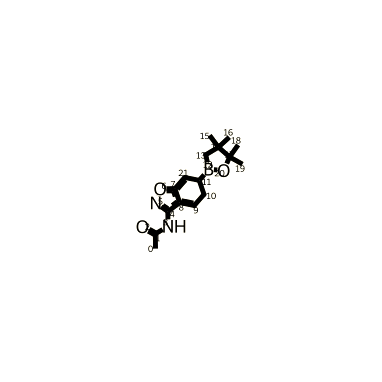 CC(=O)Nc1noc2c1=CCC(B1CC(C)(C)C(C)(C)O1)C=2